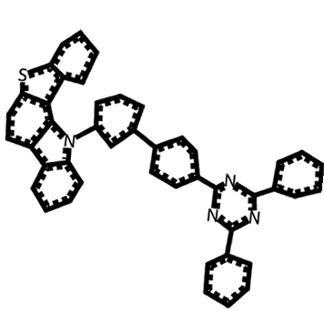 c1ccc(-c2nc(-c3ccccc3)nc(-c3ccc(-c4cccc(-n5c6ccccc6c6ccc7sc8ccccc8c7c65)c4)cc3)n2)cc1